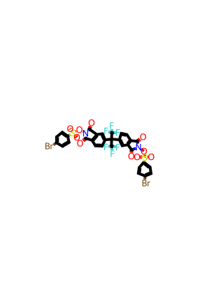 O=C1c2ccc(C(c3ccc4c(c3)C(=O)N(OS(=O)(=O)c3ccc(Br)cc3)C4=O)(C(F)(F)F)C(F)(F)F)cc2C(=O)N1OS(=O)(=O)c1ccc(Br)cc1